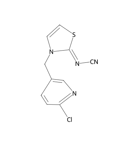 N#CN=c1sccn1Cc1ccc(Cl)nc1